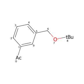 CC(=O)c1cccc(COC(C)(C)C)c1